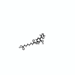 COC(=O)CCCCCCC(=O)Nc1ccc(-c2cnco2)c(OC)c1